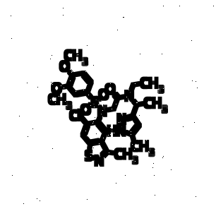 CCN(C(=O)CN(c1cc2c(C)nsc2cc1Cl)S(=O)(=O)c1ccc(OC)c(OC)c1)C(C)c1cc(C)[nH]n1